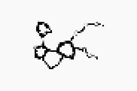 COCOc1cc2c(cc1OC)CCn1cnc(-c3cccs3)c1-2